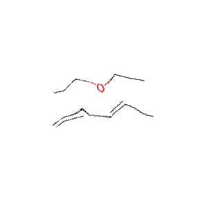 C=CC=CC.CCOCC